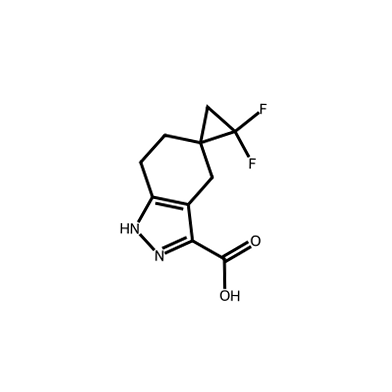 O=C(O)c1n[nH]c2c1CC1(CC2)CC1(F)F